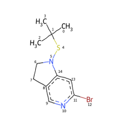 CC(C)(C)SN1CCc2cnc(Br)cc21